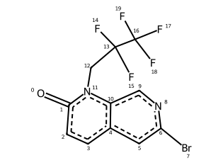 O=c1ccc2cc(Br)ncc2n1CC(F)(F)C(F)(F)F